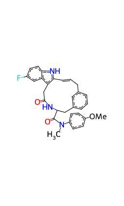 COc1ccc(N(C)C(=O)C2Cc3cccc(c3)C/C=C/c3[nH]c4ccc(F)cc4c3CC(=O)N2)cc1